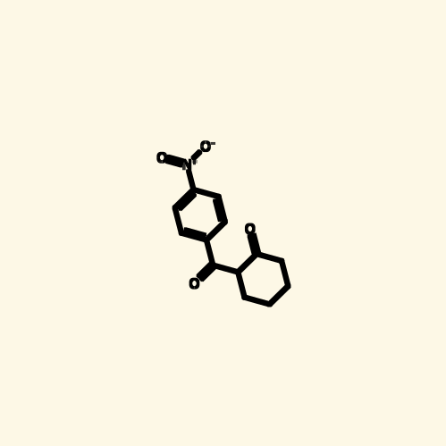 O=C1CCCCC1C(=O)c1ccc([N+](=O)[O-])cc1